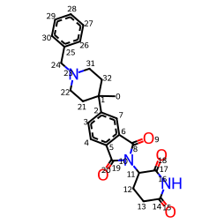 CC1(c2ccc3c(c2)C(=O)N(C2CCC(=O)NC2=O)C3=O)CCN(Cc2ccccc2)CC1